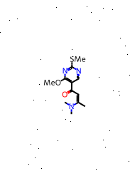 COc1nc(SC)ncc1C(=O)C=C(C)N(C)C